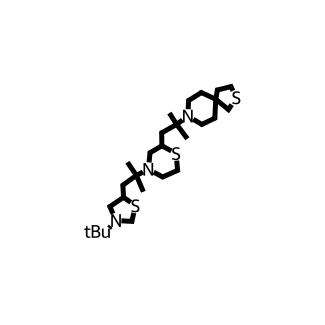 CC(C)(C)N1CSC(CC(C)(C)N2CCSC(CC(C)(C)N3CCC4(CCSC4)CC3)C2)C1